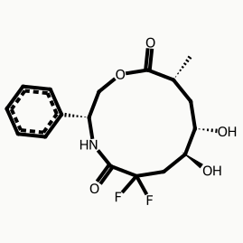 C[C@@H]1C[C@H](O)[C@@H](O)CC(F)(F)C(=O)N[C@H](c2ccccc2)COC1=O